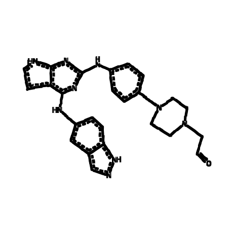 O=CCN1CCN(c2ccc(Nc3nc(Nc4ccc5[nH]ncc5c4)c4cc[nH]c4n3)cc2)CC1